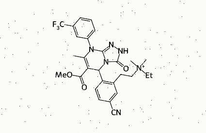 CC[N+](C)(C)CCc1cc(C#N)ccc1C1C(C(=O)OC)=C(C)N(c2cccc(C(F)(F)F)c2)c2n[nH]c(=O)n21